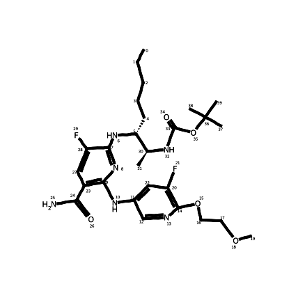 CCCCC[C@@H](Nc1nc(Nc2cnc(OCCOC)c(F)c2)c(C(N)=O)cc1F)[C@H](C)NC(=O)OC(C)(C)C